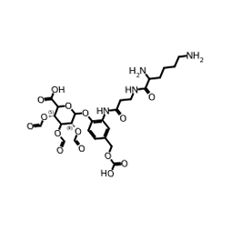 NCCCCC(N)C(=O)NCCC(=O)Nc1cc(COC(=O)O)ccc1OC1OC(C(=O)O)[C@@H](OC=O)C(OC=O)[C@H]1OC=O